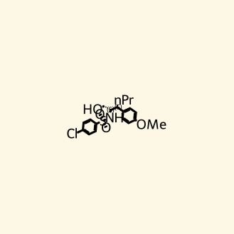 CCC[C@@H](c1ccc(OC)cc1)[C@@H](CO)NS(=O)(=O)c1ccc(Cl)cc1